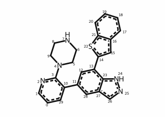 c1cnc(N2CCNCC2)c(-c2cc(-c3cc4ccccc4s3)c3[nH]ncc3c2)c1